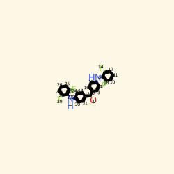 O=C(c1ccc(Nc2c(F)cccc2F)cc1)c1ccc(Nc2c(F)cccc2F)cc1